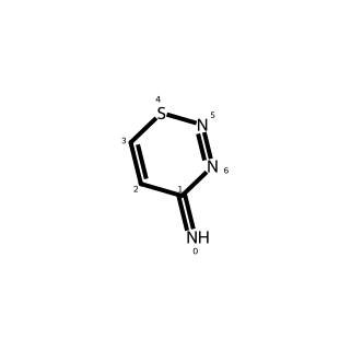 N=c1ccsnn1